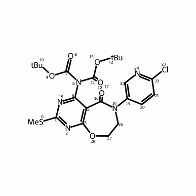 CSc1nc2c(c(N(C(=O)OC(C)(C)C)C(=O)OC(C)(C)C)n1)C(=O)N(c1ccc(Cl)nc1)CCO2